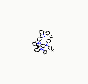 CC(C)(C)c1ccc(N(c2ccc(C(C)(C)C)cc2)c2cc3c4c(c2)-n2c5cc6c(cc5c5cccc(c52)B4c2ccccc2N3c2ccccc2)c2cccc3c4ccccc4n6c32)cc1